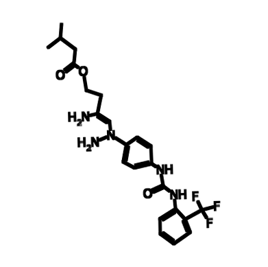 CC(C)CC(=O)OCC/C(N)=C/N(N)c1ccc(NC(=O)Nc2ccccc2C(F)(F)F)cc1